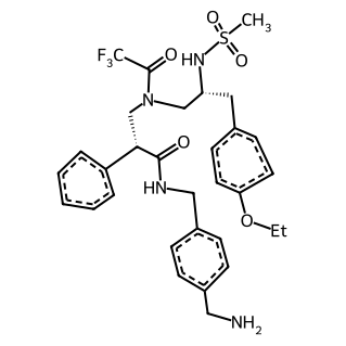 CCOc1ccc(C[C@H](CN(C[C@H](C(=O)NCc2ccc(CN)cc2)c2ccccc2)C(=O)C(F)(F)F)NS(C)(=O)=O)cc1